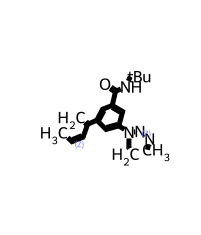 C=CN(/N=N\C)c1cc(C(=C)/C=C\C)cc(C(=O)NC(C)(C)C)c1